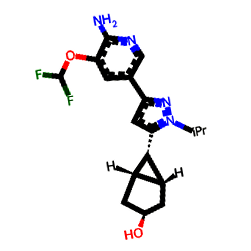 CC(C)n1nc(-c2cnc(N)c(OC(F)F)c2)cc1[C@@H]1[C@@H]2C[C@@H](O)C[C@@H]21